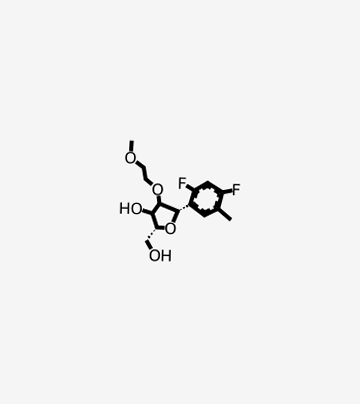 COCCOC1C(O)[C@@H](CO)O[C@H]1c1cc(C)c(F)cc1F